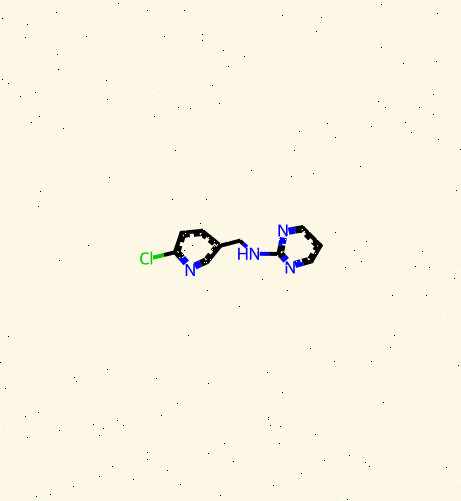 Clc1ccc(CNc2ncccn2)cn1